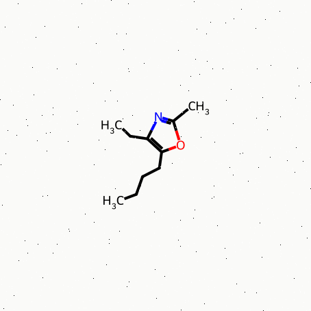 CCCCc1oc(C)nc1CC